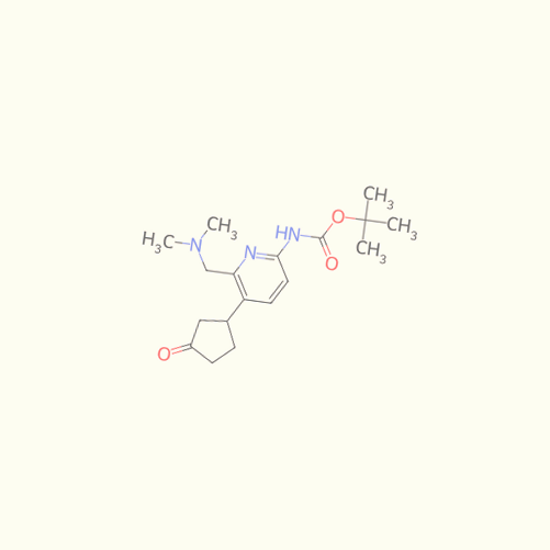 CN(C)Cc1nc(NC(=O)OC(C)(C)C)ccc1C1CCC(=O)C1